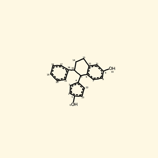 Oc1ccc(C2c3ccc(O)cc3CCC2c2ccccc2)cc1